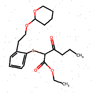 CCCC(=O)C(Sc1ccccc1CCOC1CCCCO1)C(=O)OCC